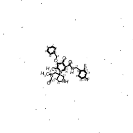 Cc1c(OCc2ccccc2)c(=O)c(C(=O)NCc2ccc(F)cc2F)cn1C1(CN(C)C=O)CCNC1